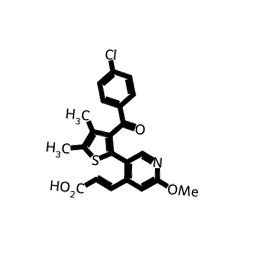 COc1cc(/C=C/C(=O)O)c(-c2sc(C)c(C)c2C(=O)c2ccc(Cl)cc2)cn1